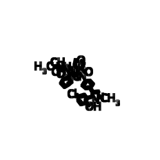 Cn1cc(-c2ccc(NC(=O)[C@@H]3COCCN3C(=O)[C@H](NC(=O)NC(C)(C)C)c3ccccc3)cc2)c(-c2cc(Cl)ccc2O)n1